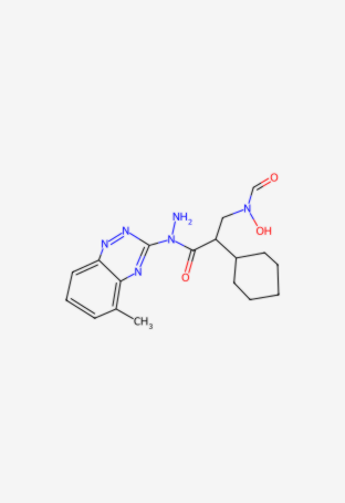 Cc1cccc2nnc(N(N)C(=O)C(CN(O)C=O)C3CCCCC3)nc12